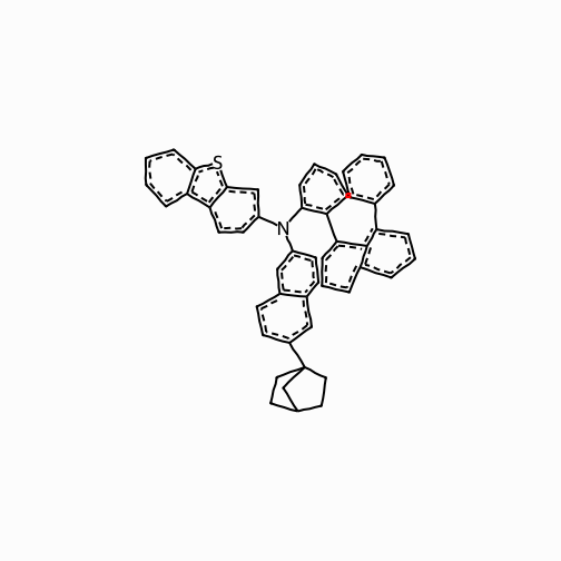 c1ccc(-c2cccc3cccc(-c4ccccc4N(c4ccc5cc(C67CCC(CC6)C7)ccc5c4)c4ccc5c(c4)sc4ccccc45)c23)cc1